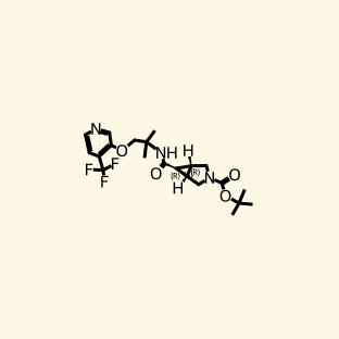 CC(C)(COc1cnccc1C(F)(F)F)NC(=O)[C@H]1[C@@H]2CN(C(=O)OC(C)(C)C)C[C@@H]21